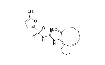 C=C1CCCC/C=C2/CCC/C2=C/1NC(=O)NS(=O)(=O)c1ccc(C)o1